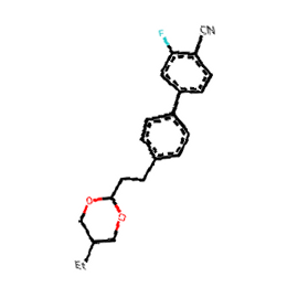 CCC1COC(CCc2ccc(-c3ccc(C#N)c(F)c3)cc2)OC1